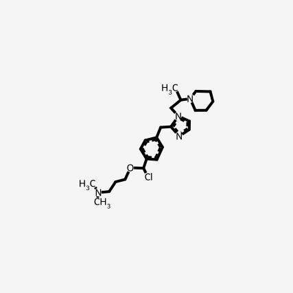 CC(Cn1ccnc1Cc1ccc(C(Cl)OCCCN(C)C)cc1)N1CCCCC1